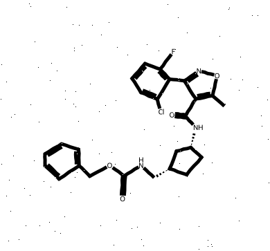 Cc1onc(-c2c(F)cccc2Cl)c1C(=O)N[C@@H]1CC[C@H](CNC(=O)OCc2ccccc2)C1